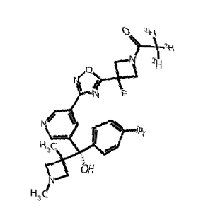 [2H]C([2H])([2H])C(=O)N1CC(F)(c2nc(-c3cncc([C@@](O)(c4ccc(C(C)C)cc4)C4(C)CN(C)C4)c3)no2)C1